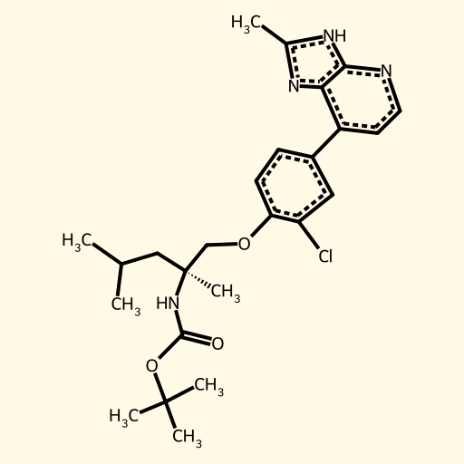 Cc1nc2c(-c3ccc(OC[C@](C)(CC(C)C)NC(=O)OC(C)(C)C)c(Cl)c3)ccnc2[nH]1